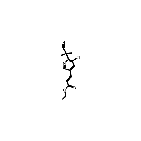 CCOC(=O)C=Cc1cnc(C(C)(C)C#N)c(Cl)c1